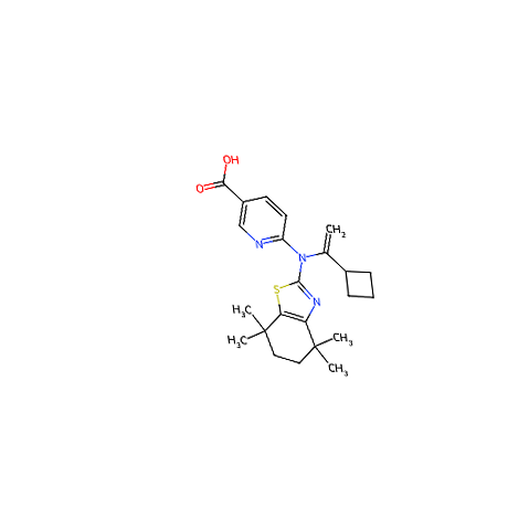 C=C(C1CCC1)N(c1ccc(C(=O)O)cn1)c1nc2c(s1)C(C)(C)CCC2(C)C